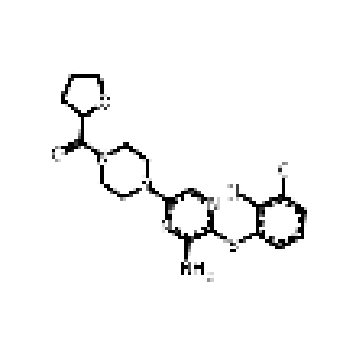 Nc1nc(N2CCN(C(=O)C3CCCO3)CC2)cnc1Sc1cccc(Cl)c1Cl